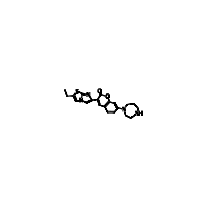 CCc1cn2cc(-c3cc4ccc(N5CCCNCC5)cc4oc3=O)nc2s1